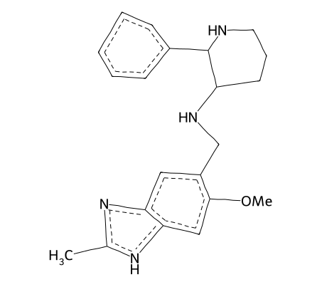 COc1cc2[nH]c(C)nc2cc1CNC1CCCNC1c1ccccc1